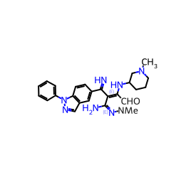 CN/N=C(N)\C(C(=N)c1ccc2c(cnn2-c2ccccc2)c1)=C(/C=O)NC1CCCN(C)C1